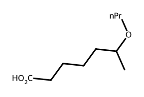 CCCOC(C)CCCCC(=O)O